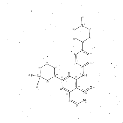 CN1CCC(c2ccc(Nc3nc(N4CCCC(F)(F)C4)cc4cc[nH]c(=O)c34)cc2)CC1